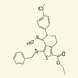 CCOC(=O)c1sc(SCc2ccccc2)c2c1CCC(c1ccc(OC)cc1)C2=NO